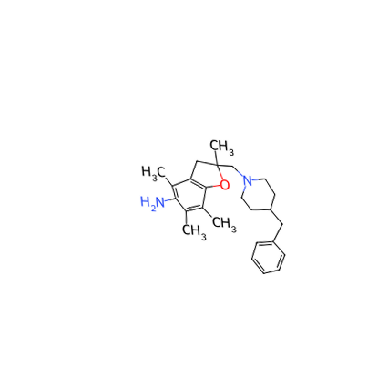 Cc1c(C)c2c(c(C)c1N)CC(C)(CN1CCC(Cc3ccccc3)CC1)O2